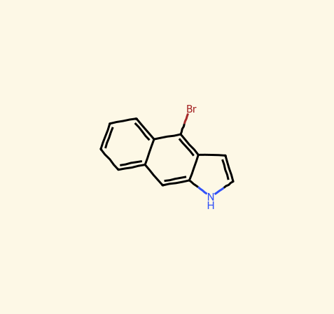 Brc1c2ccccc2cc2[nH]ccc12